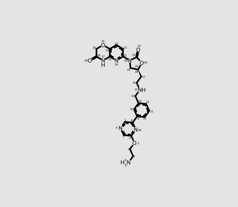 NCCOc1cncc(-c2cccc(CNCC[C@H]3CN(c4ccc5c(n4)NC(=O)CO5)C(=O)O3)c2)n1